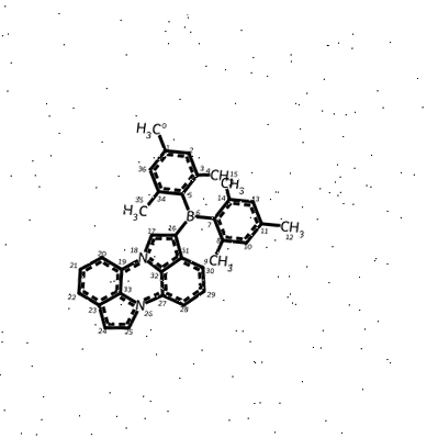 Cc1cc(C)c(B(c2c(C)cc(C)cc2C)c2cn3c4cccc5ccn(c6cccc2c63)c54)c(C)c1